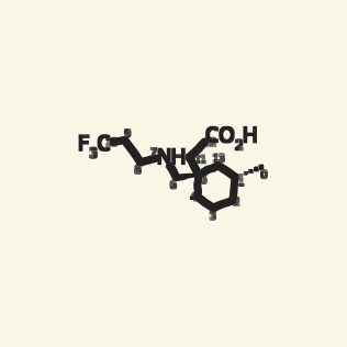 C[C@@H]1CCC[C@](CNCCC(F)(F)F)(CC(=O)O)C1